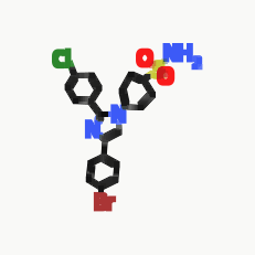 NS(=O)(=O)c1ccc(-n2cc(-c3ccc(Br)cc3)nc2-c2ccc(Cl)cc2)cc1